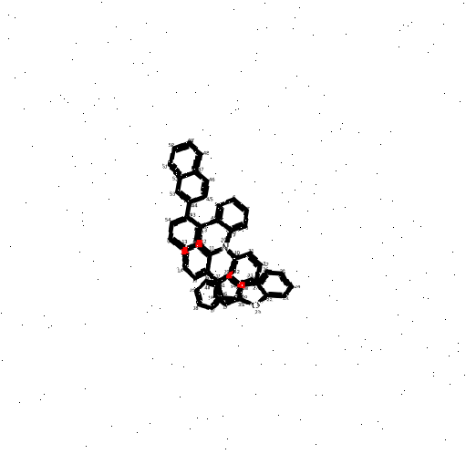 c1ccc(-c2ccccc2N(c2ccccc2-c2ccc3oc4ccccc4c3c2)c2cccc3sc4ccccc4c23)c(-c2ccc3ccccc3c2)c1